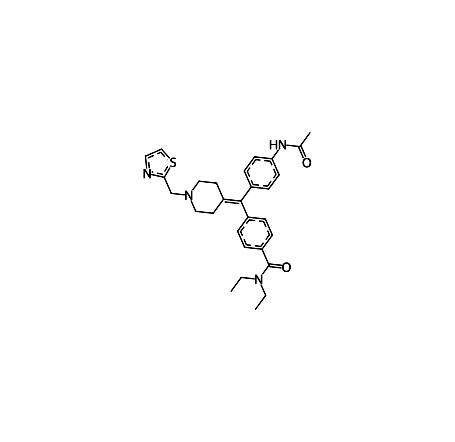 CCN(CC)C(=O)c1ccc(C(=C2CCN(Cc3nccs3)CC2)c2ccc(NC(C)=O)cc2)cc1